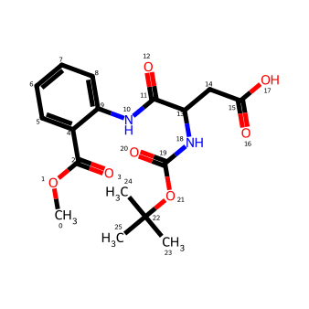 COC(=O)c1ccccc1NC(=O)C(CC(=O)O)NC(=O)OC(C)(C)C